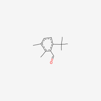 Cc1ccc(C(C)(C)C)c(C=O)c1C